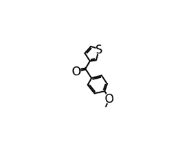 COc1ccc(C(=O)c2ccsc2)cc1